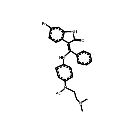 CC(=O)N(CCN(C)C)c1ccc(NC(=C2C(=O)Nc3cc(Br)ccc32)c2ccccc2)cc1